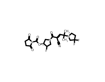 CC(C)(C=C(C#N)C(=O)N1CC(F)[C@@H](OC(=O)N2C(=O)CCC2=O)C1)N1CCC(F)(F)C1